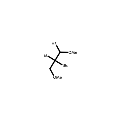 CCC(COC)(C(S)OC)C(C)(C)C